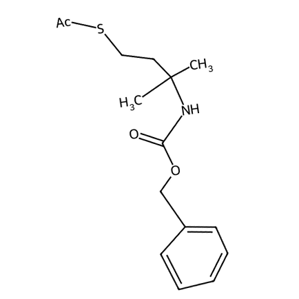 CC(=O)SCCC(C)(C)NC(=O)OCc1ccccc1